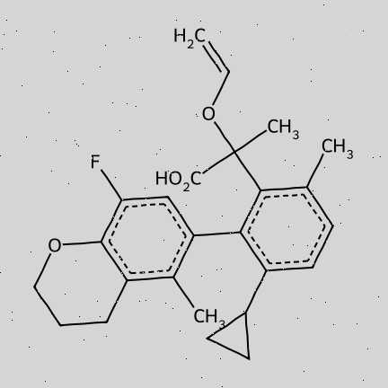 C=COC(C)(C(=O)O)c1c(C)ccc(C2CC2)c1-c1cc(F)c2c(c1C)CCCO2